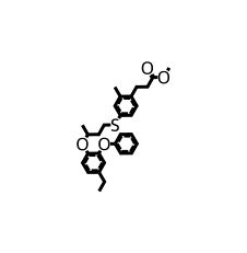 CCc1ccc(OC(C)CCSc2ccc(CCC(=O)OC)c(C)c2)c(Oc2ccccc2)c1